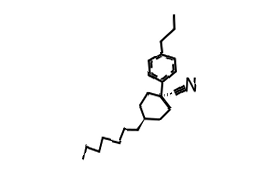 CCCCCCC[C@H]1CC[C@@](C#N)(c2ccc(CCC)cc2)CC1